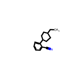 CCC1CCC(c2ccccc2C#N)CC1